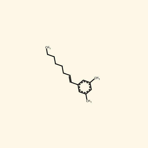 CCCCCCC=Cc1cc(C)cc(C)c1